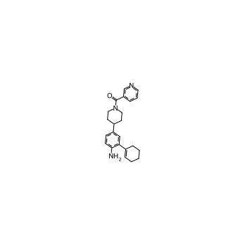 Nc1ccc(C2CCN(C(=O)c3cccnc3)CC2)cc1C1=CCCCC1